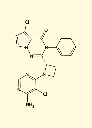 Nc1ncnc(N2CC[C@H]2c2nn3ccc(Cl)c3c(=O)n2-c2ccccc2)c1Cl